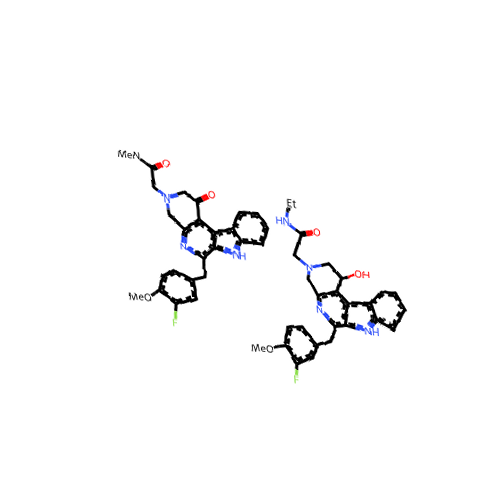 CCNC(=O)CN1Cc2nc(Cc3ccc(OC)c(F)c3)c3[nH]c4ccccc4c3c2C(O)C1.CNC(=O)CN1CC(=O)c2c(nc(Cc3ccc(OC)c(F)c3)c3[nH]c4ccccc4c23)C1